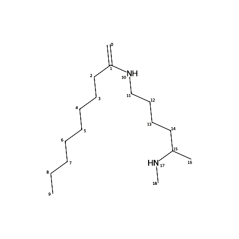 C=C(CCCCCCCC)NCCCCC(C)NC